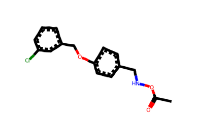 CC(=O)ONCc1ccc(OCc2cccc(Cl)c2)cc1